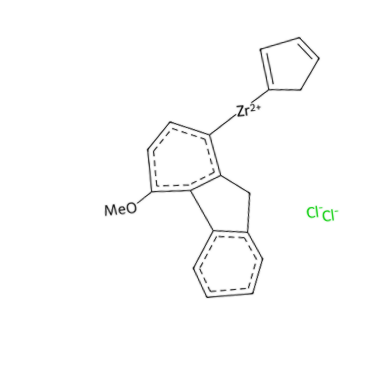 COc1cc[c]([Zr+2][C]2=CC=CC2)c2c1-c1ccccc1C2.[Cl-].[Cl-]